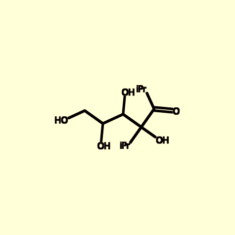 CC(C)C(=O)C(O)(C(C)C)C(O)C(O)CO